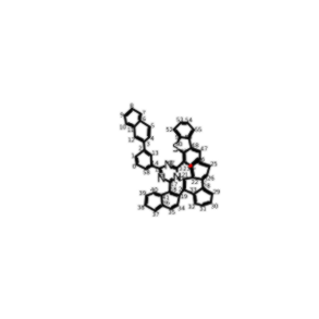 c1cc(-c2ccc3ccccc3c2)cc(-c2nc(-c3c(-c4cc5ccccc5c5ccccc45)ccc4ccccc34)nc(-c3cccc4c3sc3ccccc34)n2)c1